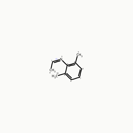 C/C=N\c1c(C)cccc1C